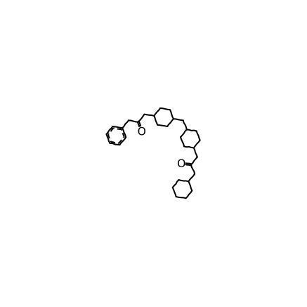 O=C(Cc1ccccc1)CC1CCC(CC2CCC(CC(=O)CC3CCCCC3)CC2)CC1